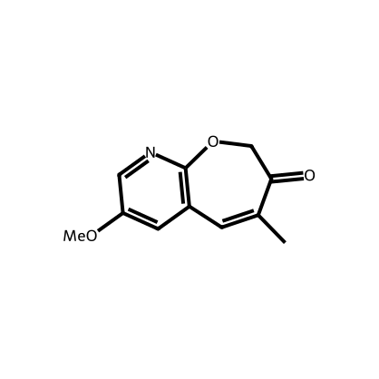 COc1cnc2c(c1)C=C(C)C(=O)CO2